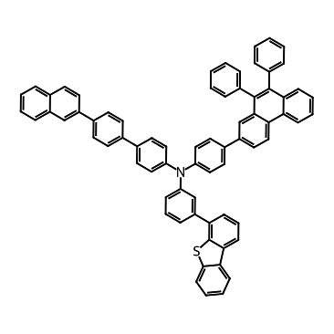 c1ccc(-c2c(-c3ccccc3)c3cc(-c4ccc(N(c5ccc(-c6ccc(-c7ccc8ccccc8c7)cc6)cc5)c5cccc(-c6cccc7c6sc6ccccc67)c5)cc4)ccc3c3ccccc23)cc1